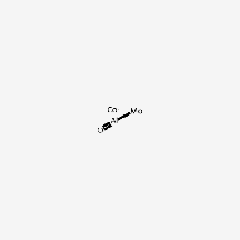 [Co].[O]=[Al][Mo]